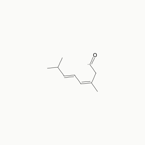 CC(=CC=CC(C)C)C[C]=O